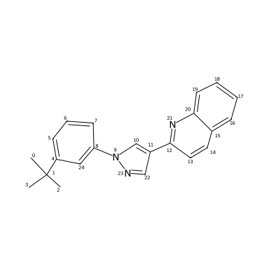 CC(C)(C)c1cccc(-n2cc(-c3ccc4ccccc4n3)cn2)c1